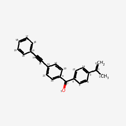 C=C(C)c1ccc(C(=O)c2ccc(C#Cc3ccccc3)cc2)cc1